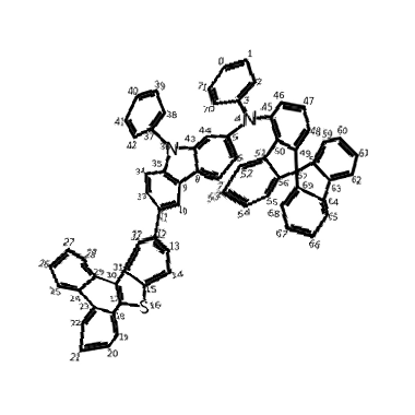 c1ccc(N(c2ccc3c4cc(-c5ccc6sc7c8ccccc8c8ccccc8c7c6c5)ccc4n(-c4ccccc4)c3c2)c2cccc3c2-c2ccccc2C32c3ccccc3-c3ccccc32)cc1